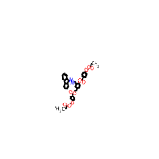 C=CC(=O)OCOc1ccc(C(=O)OCCc2ccc(OC(=O)c3ccc(OCOC(=O)C=C)cc3)c(/C=N/N=C3C4C=CC=CC4C4C=CC=CC34)c2)cc1